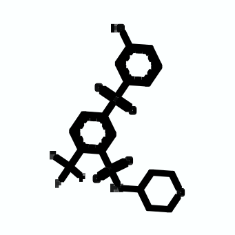 O=S(=O)(NC1CCOCC1)c1cc(S(=O)(=O)c2cccc(O)c2)ccc1C(F)(F)F